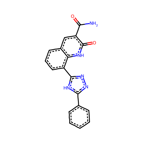 NC(=O)c1cc2cccc(-c3nnc(-c4ccccc4)[nH]3)c2[nH]c1=O